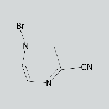 N#CC1=NC=CN(Br)C1